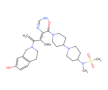 C=C(/C(OC)=C(\N=C/N)C(=O)N1CCC(N2CCC(N(C)S(C)(=O)=O)CC2)CC1)N1CCc2ccc(O)cc2C1